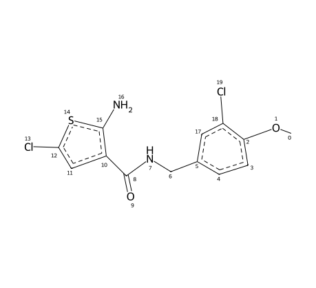 COc1ccc(CNC(=O)c2cc(Cl)sc2N)cc1Cl